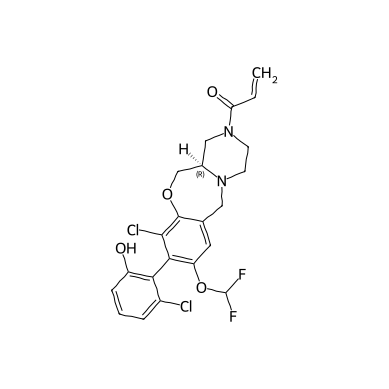 C=CC(=O)N1CCN2Cc3cc(OC(F)F)c(-c4c(O)cccc4Cl)c(Cl)c3OC[C@H]2C1